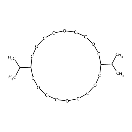 CC(C)C1COCCOCCOCC(C(C)C)COCCOCCOC1